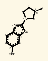 C[C@@H]1CCN(c2nc3ccc(Br)cc3s2)C1